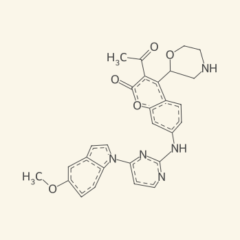 COc1ccc2c(ccn2-c2ccnc(Nc3ccc4c(C5CNCCO5)c(C(C)=O)c(=O)oc4c3)n2)c1